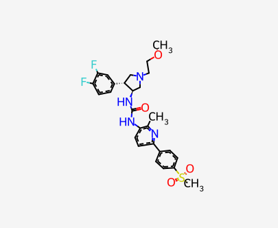 COCCN1C[C@@H](NC(=O)Nc2ccc(-c3ccc(S(C)(=O)=O)cc3)nc2C)[C@H](c2ccc(F)c(F)c2)C1